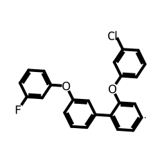 Fc1cccc(Oc2cccc(-c3cc[c]cc3Oc3cccc(Cl)c3)c2)c1